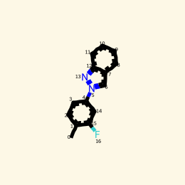 Cc1ccc(-n2cc3ccccc3n2)cc1F